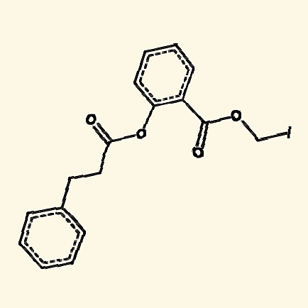 O=C(CCc1ccccc1)Oc1ccccc1C(=O)OCI